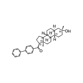 C[C@@]1(O)CC[C@H]2[C@@H](CC[C@@H]3[C@@H]2CC[C@]2(C)[C@@H](C(=O)c4ccc(-c5ccccc5)cc4)CC[C@@H]32)C1